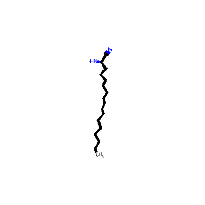 CCCCCCCCCCCCCCCC([NH])C#N